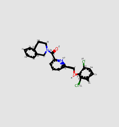 O=C(c1cccc(COc2c(Cl)cccc2Cl)n1)N1CCc2ccccc2C1